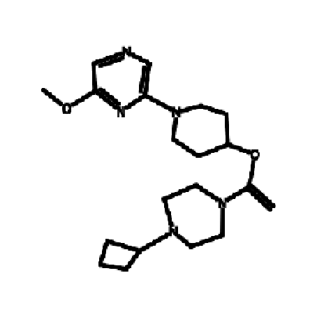 C=C(OC1CCN(c2cncc(OC)n2)CC1)N1CCN(C2CCC2)CC1